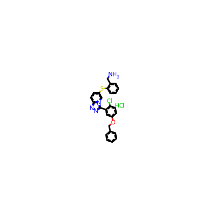 Cl.NCc1ccccc1Sc1ccc2nnc(-c3cc(OCc4ccccc4)ccc3Cl)n2c1